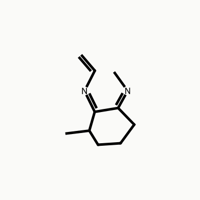 C=C/N=C1\C(=N/C)CCCC1C